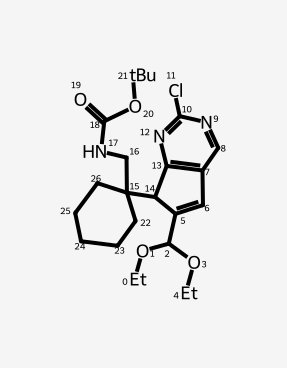 CCOC(OCC)C1=Cc2cnc(Cl)nc2C1C1(CNC(=O)OC(C)(C)C)CCCCC1